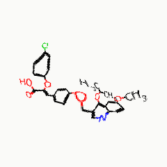 COc1ccc2ncc(COc3ccc(C=C(Oc4ccc(Cl)cc4)C(=O)O)cc3)c(OC(C)C)c2c1